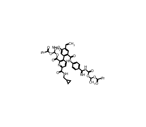 C=Cc1cc(C(=O)Nc2ccc(C(=N)NC(=O)OC(C)OC(=O)C(C)C)cc2)c(-c2ccc(C(=O)NCC3CC3)nc2C(=O)OC(C)OC(=O)C(C)C)cc1OC